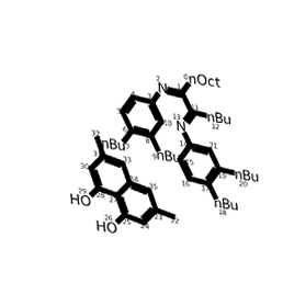 CCCCCCCCC(=Nc1ccc(CCCC)c(CCCC)c1)C(CCCC)=Nc1ccc(CCCC)c(CCCC)c1.Cc1cc(O)c2c(O)cc(C)cc2c1